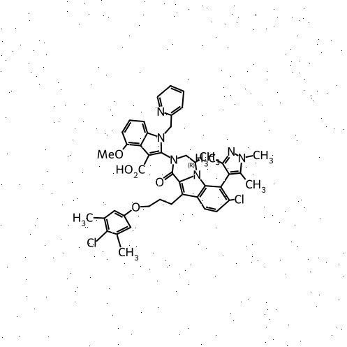 COc1cccc2c1c(C(=O)O)c(N1C[C@@H](C)n3c(c(CCCOc4cc(C)c(Cl)c(C)c4)c4ccc(Cl)c(-c5c(C)nn(C)c5C)c43)C1=O)n2Cc1ccccn1